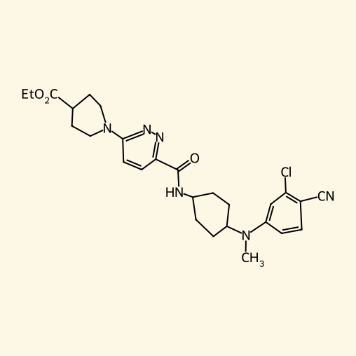 CCOC(=O)C1CCN(c2ccc(C(=O)NC3CCC(N(C)c4ccc(C#N)c(Cl)c4)CC3)nn2)CC1